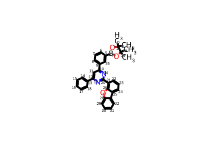 CC1(C)OB(c2cccc(-c3cc(-c4ccccc4)nc(-c4cccc5c4oc4ccccc45)n3)c2)OC1(C)C